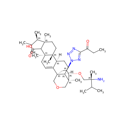 CCC(=O)c1nnn([C@@H]2C[C@@]34COC[C@@](C)([C@@H]3CC[C@H]3C4=CC[C@@]4(C)C(C(=O)O)[C@@](C)([C@H](C)C(C)C)CC[C@]34C)[C@H]2OC[C@](C)(N)C(C)C)n1